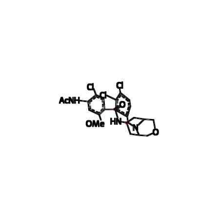 COc1cc(NC(C)=O)c(Cl)cc1C(=O)NC1CC2COCC(C1)N2Cc1ccc(Cl)c(Cl)c1